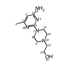 Cc1cc(N)nc(N2CCN(CCO)CC2)n1